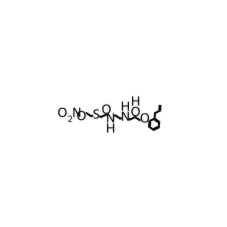 C=CCc1ccccc1OCC(O)CNCCNC(=O)CSCCO[N+](=O)[O-]